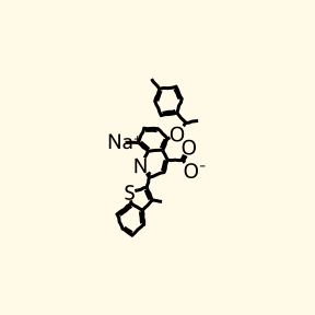 Cc1ccc(C(C)Oc2ccc(C)c3nc(-c4sc5ccccc5c4C)cc(C(=O)[O-])c23)cc1.[Na+]